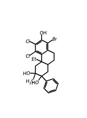 CCC12CC(C)(O)C(O)(c3ccccc3)CC1CCc1c(Br)c(O)c(Cl)c(Cl)c12